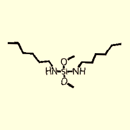 CCCCCCN[Si](NCCCCCC)(OC)OC